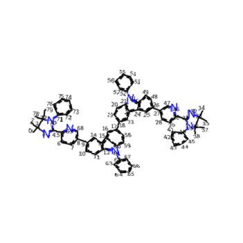 CC1(C)N=C(c2ccc(-c3ccc4c(c3)c3cc(-c5ccc6c(c5)c5cc(-c7ccc(C8=NC(C)(C)C(C)(C)N8c8ccccc8)nc7)ccc5n6-c5ccccc5)ccc3n4-c3ccccc3)cn2)N(c2ccccc2)C1(C)C